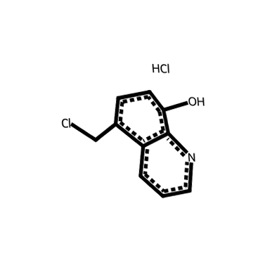 Cl.Oc1ccc(CCl)c2cccnc12